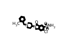 Cc1ccccc1CN1CCC(N2Cc3cc(Cl)c(S(N)(=O)=O)cc3C2=O)CC1